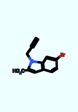 C#CCn1c(C(=O)O)cc2ccc(Br)cc21